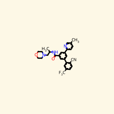 Cc1ccc(-c2cc(C(=O)NC(C)CN3CCOCC3)cc(-c3cc(C(F)(F)F)ccc3C#N)c2)nc1